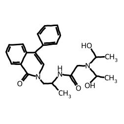 CC(Cn1cc(-c2ccccc2)c2ccccc2c1=O)NC(=O)CN(C(C)O)C(C)O